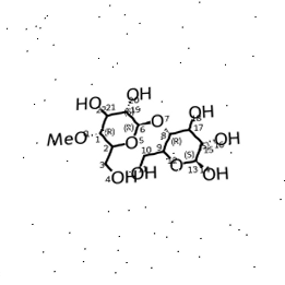 CO[C@H]1C(CO)O[C@H](O[C@H]2C(CO)O[C@H](O)[C@@H](O)C2O)[C@@H](O)C1O